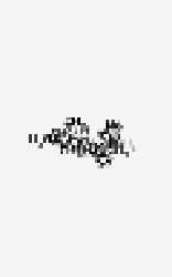 C=CC(=O)Nc1cc(Nc2ncc(-c3cccnc3)c(Nc3ccc4nccnc4c3P(C)C)n2)c(OC)cc1N(C)CCN(C)C